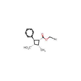 CC(=O)COC(=O)[C@@H]1[C@H](C)[C@H](C(=O)O)[C@H]1c1ccccc1